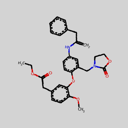 C=C(Cc1ccccc1)Nc1ccc(Oc2cc(CC(=O)OCC)ccc2OC)c(CN2CCOC2=O)c1